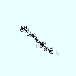 COCCNC(=O)CCC[C@@H](O)NCCOCCOCC(=O)NCCOCCOCC(C)=O